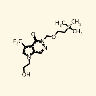 C[Si](C)(C)CCOCn1ncc2c(c(C(F)(F)F)cn2CCO)c1=O